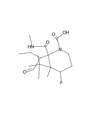 CCC(C=O)C1(C(=O)NC)N(C(=O)O)CCC(F)C1(C)C(C)(C)C